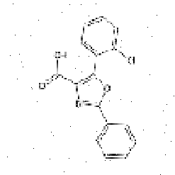 O=C(O)c1nc(-c2ccccc2)oc1-c1ccccc1Cl